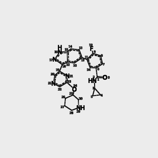 O=C(NC1CC1)c1ccc(F)c(-c2ccc3[nH]nc(-c4cncc(OC5CCCNC5)n4)c3c2)c1